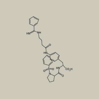 N=C(NCCCC(=O)Nc1ccc(CC(NC(=O)C2CCCN2S(=O)(=O)c2ccccc2)C(=O)O)cc1)c1ccccc1